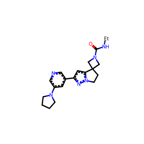 CCNC(=O)N1CC2(CCn3nc(-c4cncc(N5CCCC5)c4)cc32)C1